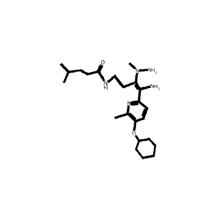 Cc1nc(/C(N)=C(\CCNC(=O)CCC(C)C)N(C)N)ccc1OC1CCCCC1